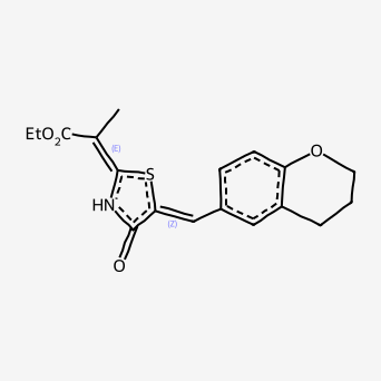 CCOC(=O)/C(C)=c1\[nH]c(=O)/c(=C/c2ccc3c(c2)CCCO3)s1